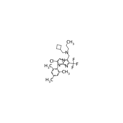 CCCN(Cc1c(C(F)(F)F)nc2n(-c3c(C)cc(C)cc3C)c(Cl)cn12)CC1CCC1